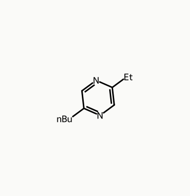 [CH2]CCCc1cnc(CC)cn1